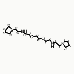 C1CCN(CCNCCOCCOCCNCCN2CCCC2)C1